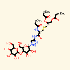 CCCCCCCCCCCC(=O)N[C@H](CSC[C@@H](COC(=O)CCCCCCCCCCC)OC(=O)CCCCCCCCCCC)C(=O)Nc1cn([C@@H]2OC(CO)C(OC3OC(CO)C(O)C(O)C3O)C(O)C2O)nn1